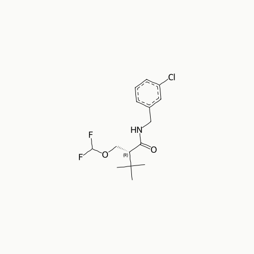 CC(C)(C)[C@H](COC(F)F)C(=O)NCc1cccc(Cl)c1